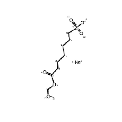 CCOC(=O)CCCCCCS(=O)(=O)[O-].[Na+]